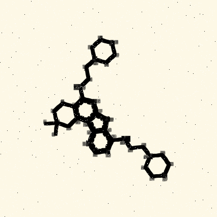 CC1(C)CCc2c(NCCN3CCOCC3)nc3oc4c(NCCN5CCOCC5)ncnc4c3c2C1